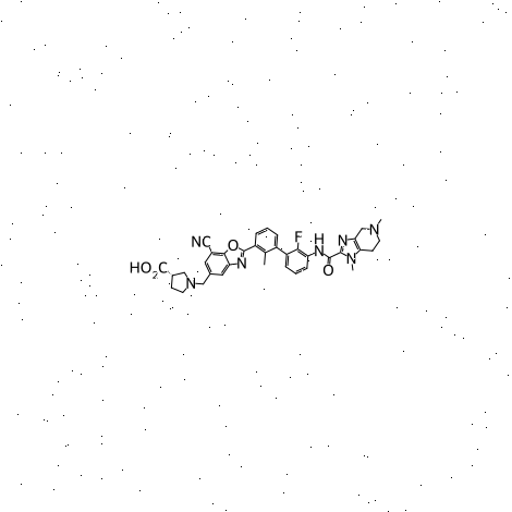 Cc1c(-c2nc3cc(CN4CC[C@H](C(=O)O)C4)cc(C#N)c3o2)cccc1-c1cccc(NC(=O)c2nc3c(n2C)CCN(C)C3)c1F